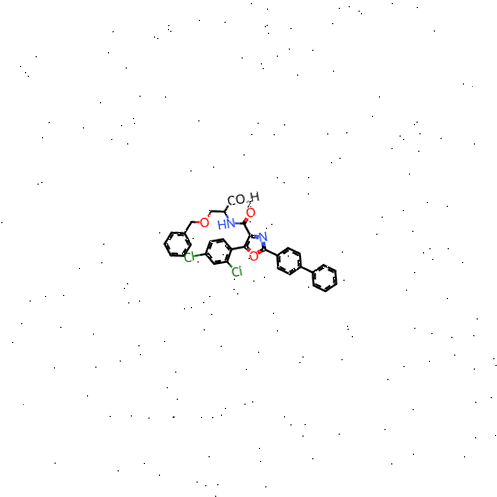 O=C(NC(COCc1ccccc1)C(=O)O)c1nc(-c2ccc(-c3ccccc3)cc2)oc1-c1ccc(Cl)cc1Cl